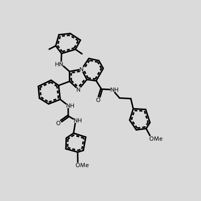 COc1ccc(CCNC(=O)c2cccn3c(Nc4c(C)cccc4C)c(-c4ccccc4NC(=O)Nc4ccc(OC)cc4)nc23)cc1